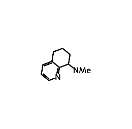 CNC1CCCc2cccnc21